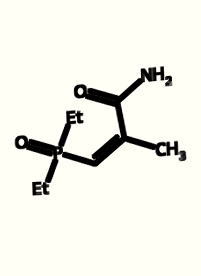 CCP(=O)(C=C(C)C(N)=O)CC